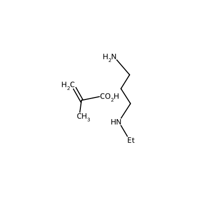 C=C(C)C(=O)O.CCNCCCN